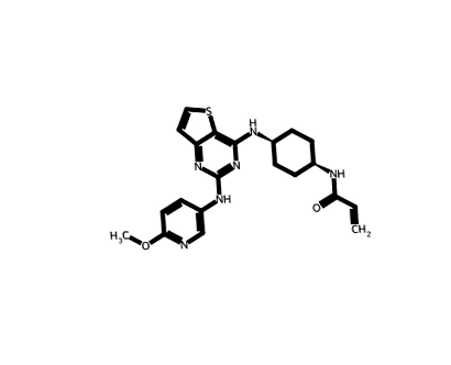 C=CC(=O)N[C@H]1CC[C@@H](Nc2nc(Nc3ccc(OC)nc3)nc3ccsc23)CC1